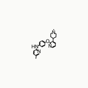 Cc1ccc(Nc2ccc(Oc3ncccc3C3CCN(C)CC3)cc2)nc1